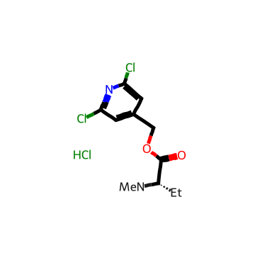 CC[C@H](NC)C(=O)OCc1cc(Cl)nc(Cl)c1.Cl